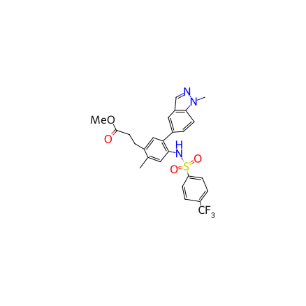 COC(=O)CCc1cc(-c2ccc3c(cnn3C)c2)c(NS(=O)(=O)c2ccc(C(F)(F)F)cc2)cc1C